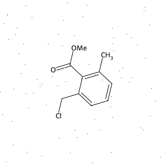 COC(=O)c1c(C)cccc1CCl